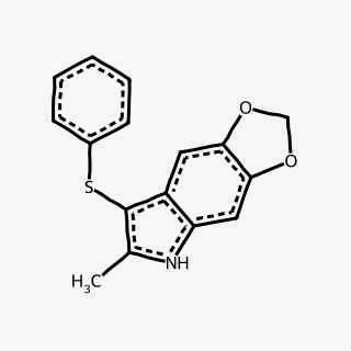 Cc1[nH]c2cc3c(cc2c1Sc1ccccc1)OCO3